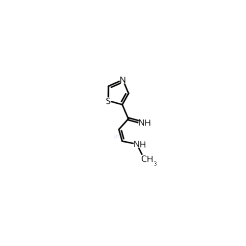 CN/C=C\C(=N)c1cncs1